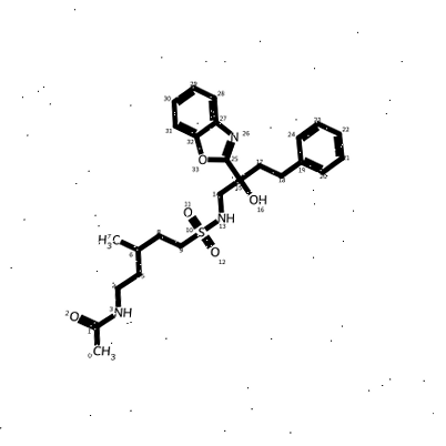 CC(=O)NCCC(C)CCS(=O)(=O)NCC(O)(CCc1ccccc1)c1nc2ccccc2o1